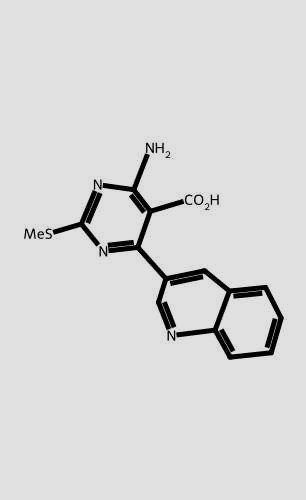 CSc1nc(N)c(C(=O)O)c(-c2cnc3ccccc3c2)n1